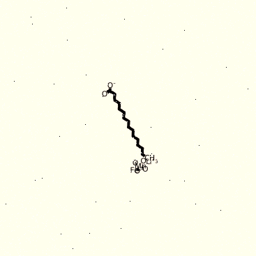 CCCCCCCCCCCCCCCC(=O)[O-].[Fe+2].[Li+].[O]=[Mn](=[O])([O-])[O-]